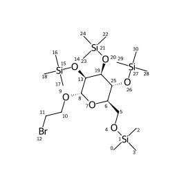 C[Si](C)(C)OC[C@H]1O[C@H](OCCBr)[C@@H](O[Si](C)(C)C)[C@@H](O[Si](C)(C)C)[C@@H]1O[Si](C)(C)C